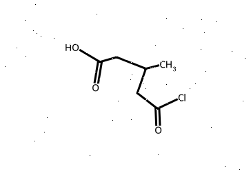 CC(CC(=O)O)CC(=O)Cl